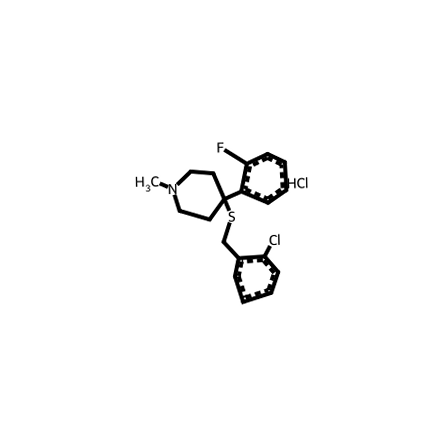 CN1CCC(SCc2ccccc2Cl)(c2ccccc2F)CC1.Cl